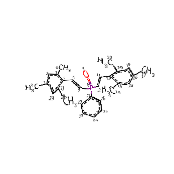 Cc1cc(C)c(C=CP(=O)(C=Cc2c(C)cc(C)cc2C)c2ccccc2)c(C)c1